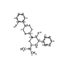 CN(C)C1CN(N2CCN(c3ccccc3F)CC2)C(F)C(c2ncccn2)O1